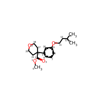 COC(=O)C1(c2cccc(OCCC(C)C)c2)CCOCC1